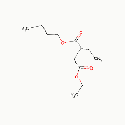 CCCCOC(=O)C(CC)CC(=O)OCC